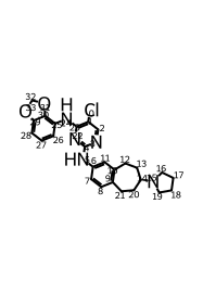 Clc1cnc(Nc2ccc3c(c2)CC[C@@H](N2CCCC2)CC3)nc1Nc1cccc2c1OCO2